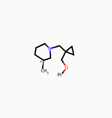 CC(C)OCC1(CN2CCC[C@H](C)C2)CC1